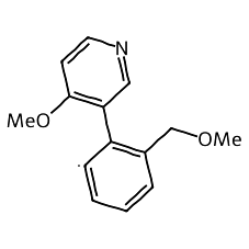 COCc1ccc[c]c1-c1cnccc1OC